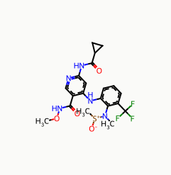 CONC(=O)c1cnc(NC(=O)C2CC2)cc1Nc1cccc(C(F)(F)F)c1N(C)[S+](C)[O-]